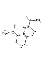 CC(I)c1ccc2c(c1)N(C(C)I)CCC2